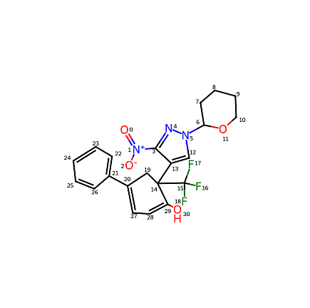 O=[N+]([O-])c1nn(C2CCCCO2)cc1C1(C(F)(F)F)CC(c2ccccc2)=CC=C1O